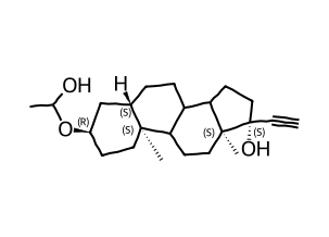 C#C[C@]1(O)CCC2C3CC[C@H]4C[C@H](OC(C)O)CC[C@]4(C)C3CC[C@@]21C